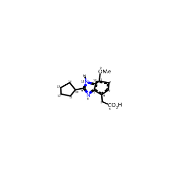 COc1ccc(CC(=O)O)c2nc(C3CCCC3)n(C)c12